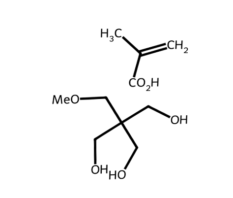 C=C(C)C(=O)O.COCC(CO)(CO)CO